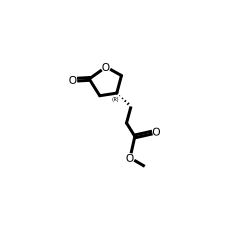 COC(=O)CC[C@H]1COC(=O)C1